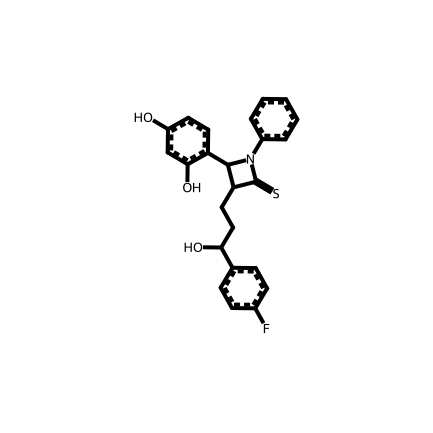 Oc1ccc(C2C(CCC(O)c3ccc(F)cc3)C(=S)N2c2ccccc2)c(O)c1